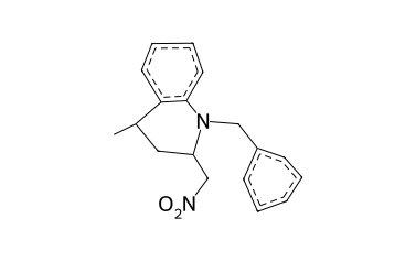 CC1CC(C[N+](=O)[O-])N(Cc2ccccc2)c2ccccc21